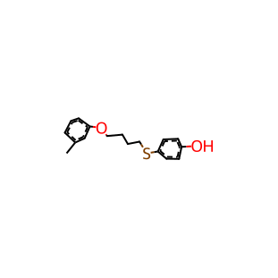 Cc1cccc(OCCCCSc2ccc(O)cc2)c1